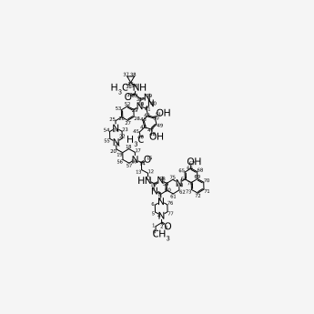 CCC(=O)N1CCN(c2nc(NCCC(=O)N3CCC(CN4CCN(Cc5ccc(-n6c(C(=O)NC7(C)CC7)nnc6-c6cc(CC)c(O)cc6O)cc5)CC4)CC3)nc3c2CCN(c2cc(O)cc4ccccc24)C3)CC1